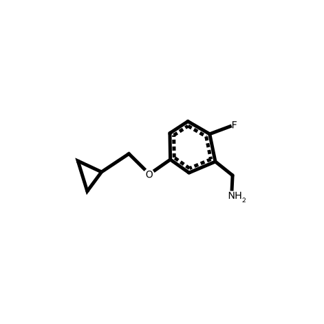 NCc1cc(OCC2CC2)ccc1F